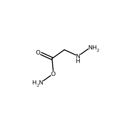 NNCC(=O)ON